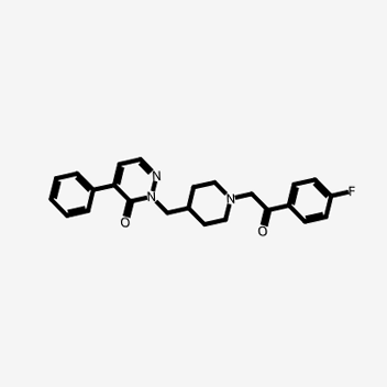 O=C(CN1CCC(Cn2nccc(-c3ccccc3)c2=O)CC1)c1ccc(F)cc1